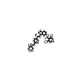 C[C@@H](Oc1ccc2c(c1)C(/C=C(\F)c1ccc(CNC3CCOCC3)nc1)=NC2)c1c(Cl)cncc1Cl